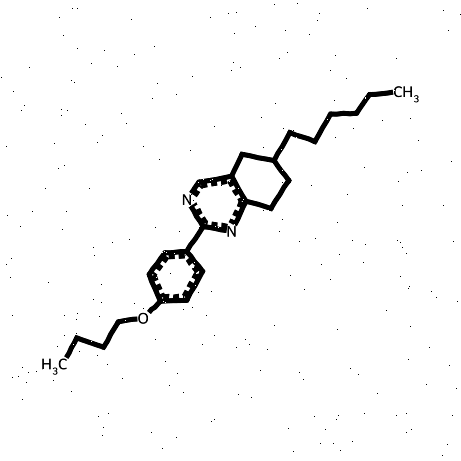 CCCCCCC1CCc2nc(-c3ccc(OCCCC)cc3)ncc2C1